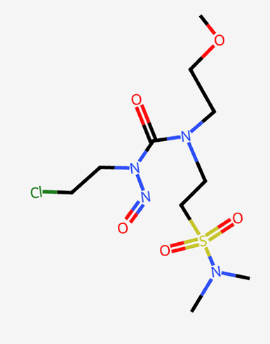 COCCN(CCS(=O)(=O)N(C)C)C(=O)N(CCCl)N=O